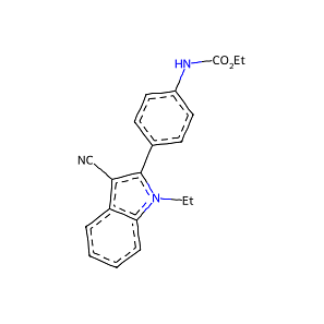 CCOC(=O)Nc1ccc(-c2c(C#N)c3ccccc3n2CC)cc1